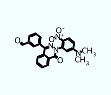 CN(C)c1ccc([N+](=O)[O-])c(-n2nc(-c3cccc(C=O)c3)c3ccccc3c2=O)c1